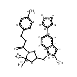 Cc1ccc(CCC(=O)N2CC(Cn3c(C)cc4cc(-c5cn[nH]c5)ccc43)CC2(C)C)cc1